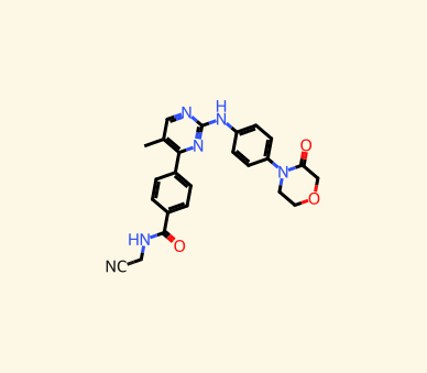 Cc1cnc(Nc2ccc(N3CCOCC3=O)cc2)nc1-c1ccc(C(=O)NCC#N)cc1